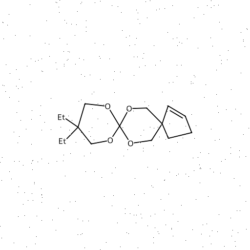 CCC1(CC)COC2(OCC3(C=CCC3)CO2)OC1